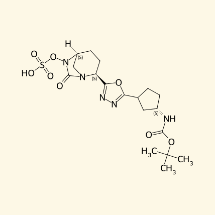 CC(C)(C)OC(=O)N[C@H]1CCC(c2nnc([C@@H]3CC[C@H]4CN3C(=O)N4OS(=O)(=O)O)o2)C1